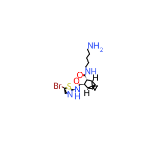 NCCCCCNC(=O)[C@H]1[C@H](C(=O)Nc2ncc(Br)s2)[C@@H]2C=C[C@H]1C21CC1